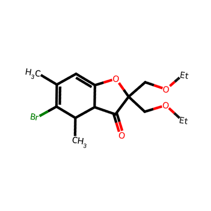 CCOCC1(COCC)OC2=CC(C)=C(Br)C(C)C2C1=O